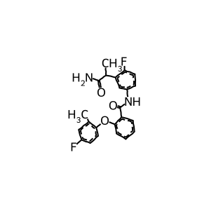 Cc1cc(F)ccc1Oc1ccccc1C(=O)Nc1ccc(F)c(C(C)C(N)=O)c1